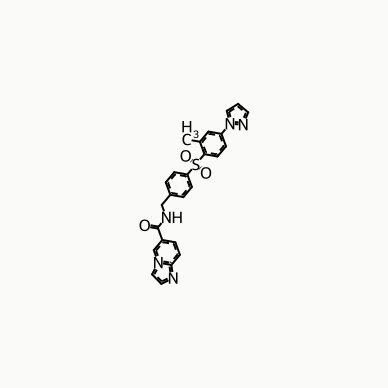 Cc1cc(-n2cccn2)ccc1S(=O)(=O)c1ccc(CNC(=O)c2ccc3nccn3c2)cc1